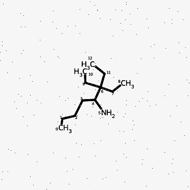 CCCCC(N)C(CC)(CC)CC